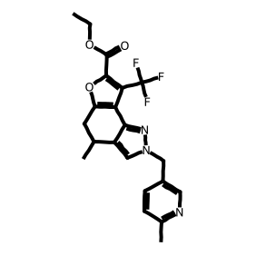 CCOC(=O)c1oc2c(c1C(F)(F)F)-c1nn(Cc3ccc(C)nc3)cc1C(C)C2